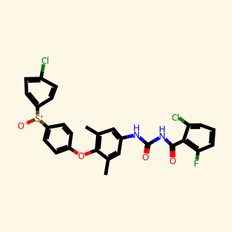 Cc1cc(NC(=O)NC(=O)c2c(F)cccc2Cl)cc(C)c1Oc1ccc([S+]([O-])c2ccc(Cl)cc2)cc1